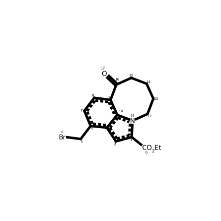 CCOC(=O)c1cc2c(CBr)ccc3c2n1CCCCC3=O